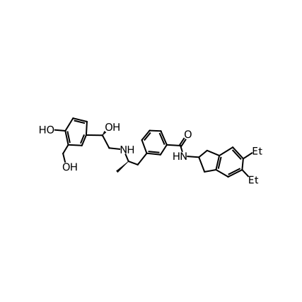 CCc1cc2c(cc1CC)CC(NC(=O)c1cccc(C[C@@H](C)NC[C@H](O)c3ccc(O)c(CO)c3)c1)C2